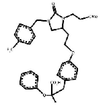 COCCN1C(=O)N(Cc2ccc(C(F)(F)F)cc2)CC1CCOc1ccc(CC(C)(Oc2ccccc2)C(=O)O)cc1